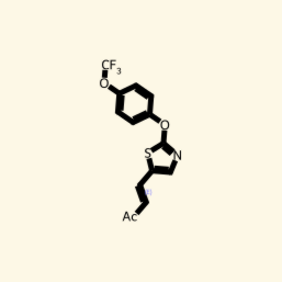 CC(=O)/C=C/c1cnc(Oc2ccc(OC(F)(F)F)cc2)s1